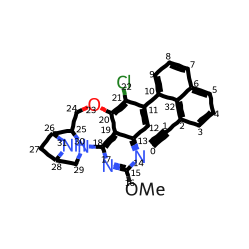 C#Cc1cccc2cccc(-c3cc4nc(OC)nc5c4c(c3Cl)OCC3C4CC(CN53)N4)c12